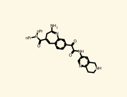 CCCN(CCC)C(=O)C1=Cc2ccc(C(=O)C(=O)Nc3cnc4c(c3)CNCC4)cc2N=C(N)C1